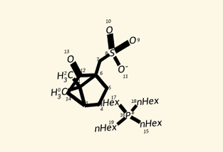 CC1(C)C2CCC1(CS(=O)(=O)[O-])C(=O)C2.CCCCCC[P+](CCCCCC)(CCCCCC)CCCCCC